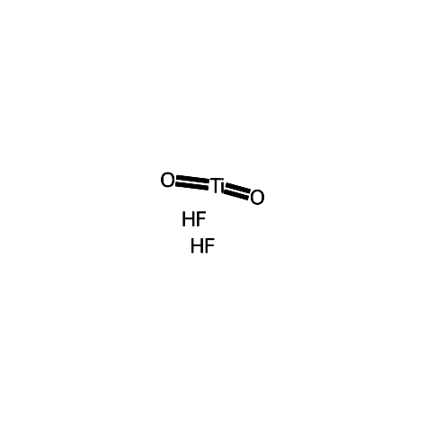 F.F.[O]=[Ti]=[O]